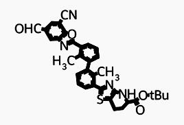 Cc1c(-c2nc3cc(C=O)cc(C#N)c3o2)cccc1-c1cccc(-c2nc3c(s2)CCC(C(=O)OC(C)(C)C)N3)c1C